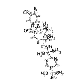 BC(B)(B)c1ccc(C(B)(B)NCC2(F)CCN(C(=O)c3ccc(F)c(Cl)c3)C(B)(B)C2(B)B)nc1